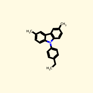 CCc1ccc(-n2c3ccc(C)cc3c3cc(C)ccc32)cc1